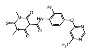 CC(C)c1cc(Oc2cc(C(F)(F)F)ncn2)ccc1NC(=O)C1C(=O)N(C)C(=S)N(C)C1=O